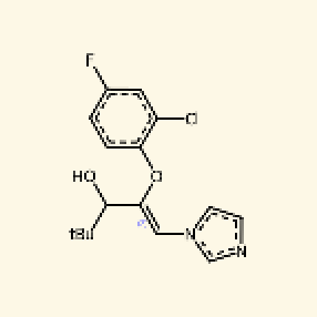 CC(C)(C)C(O)/C(=C/n1ccnc1)Oc1ccc(F)cc1Cl